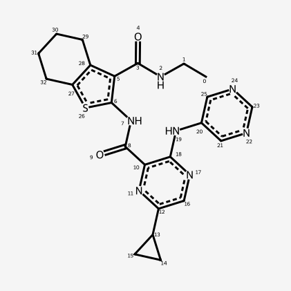 CCNC(=O)c1c(NC(=O)c2nc(C3CC3)cnc2Nc2cncnc2)sc2c1CCCC2